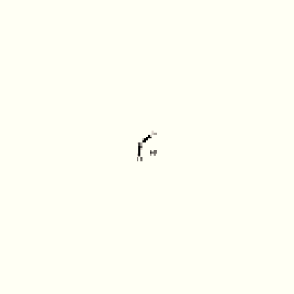 C[CH2][In][CH2]C.F